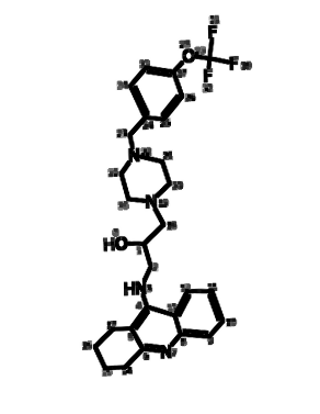 OC(CNc1c2c(nc3ccccc13)CCCC2)CN1CCN(Cc2ccc(OC(F)(F)F)cc2)CC1